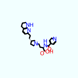 O=C(NC(CCN1CC[C@H](CCc2ccc3c(n2)NCCC3)C1)C(=O)O)c1ccncc1